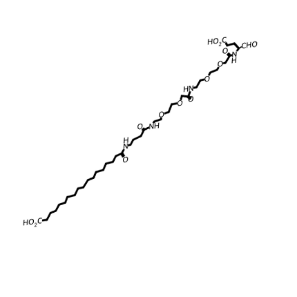 O=C[C@H](CCC(=O)O)NC(=O)COCCOCCNC(=O)COCCOCCNC(=O)CCCNC(=O)CCCCCCCCCCCCCCCCC(=O)O